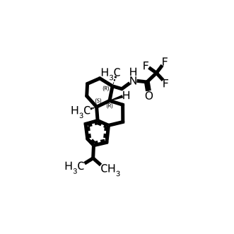 CC(C)c1ccc2c(c1)CC[C@H]1[C@](C)(CNC(=O)C(F)(F)F)CCC[C@]21C